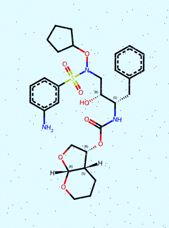 Nc1cccc(S(=O)(=O)N(C[C@@H](O)[C@H](Cc2ccccc2)NC(=O)O[C@H]2CO[C@H]3OCCC[C@H]32)OC2CCCC2)c1